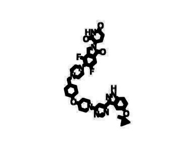 CC1(Oc2ccc3[nH]nc(-c4cc(N5CCC(OC6CCC(CN7CCN(c8c(F)cc9c(c8F)CN(C8CCC(=O)NC8=O)C9=O)CC7)CC6)CC5)ncn4)c3c2)CC1